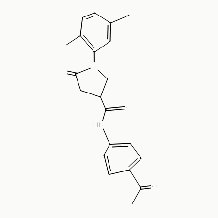 CC(=O)c1ccc(NC(=O)C2CC(=O)N(c3cc(C)ccc3C)C2)cc1